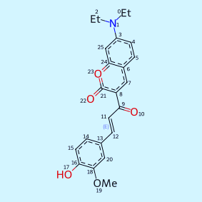 CCN(CC)c1ccc2cc(C(=O)/C=C/c3ccc(O)c(OC)c3)c(=O)oc2c1